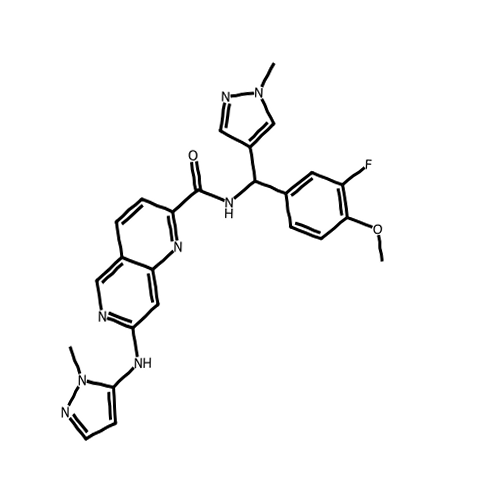 COc1ccc(C(NC(=O)c2ccc3cnc(Nc4ccnn4C)cc3n2)c2cnn(C)c2)cc1F